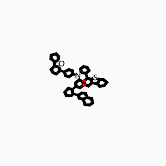 c1cc(-c2ccccc2-c2ccc3ccccc3c2)cc(N(c2ccc(-c3cccc4c3oc3ccccc34)cc2)c2ccccc2-c2cccc3c2sc2ccccc23)c1